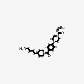 CCCCOC(=O)N1CCN(c2ccc(C(=O)N3CCC(CCCCN)CC3)cc2)CC1